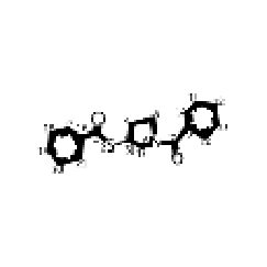 O=C(S[C@H]1CCN(C(=O)c2ccccc2)C1)c1ccccc1